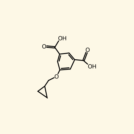 O=C(O)c1cc(OCC2CC2)cc(C(=O)O)c1